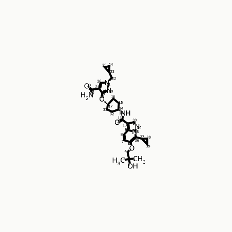 CC(C)(O)COc1ccc2c(C(=O)N[C@H]3CC[C@H](Oc4nn(CC5CC5)cc4C(N)=O)CC3)cnn2c1C1CC1